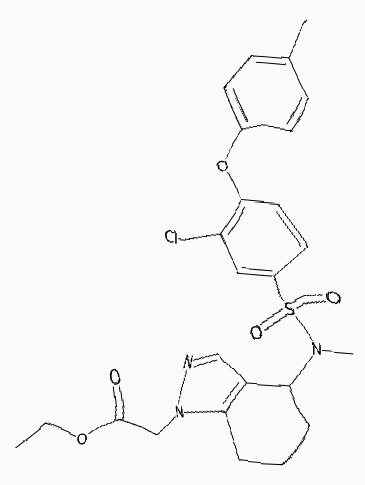 CCOC(=O)Cn1ncc2c1CCCC2N(C)S(=O)(=O)c1ccc(Oc2ccc(C)cc2)c(Cl)c1